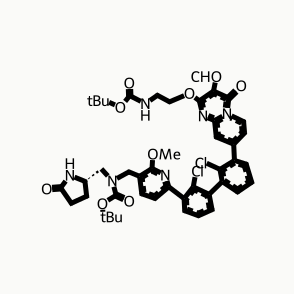 COc1nc(-c2cccc(-c3cccc(-c4ccn5c(=O)c(C=O)c(OCCNC(=O)OC(C)(C)C)nc5c4)c3Cl)c2Cl)ccc1CN(C[C@@H]1CCC(=O)N1)C(=O)OC(C)(C)C